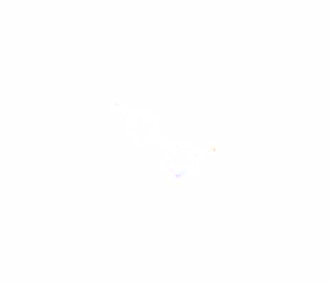 CC(C)c1ccc(-c2cncc(Br)c2)cc1